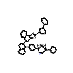 N=C(/C=C\C(=N)c1ccc(-c2c(-c3cc4oc(-c5cccc(-c6ccccc6)c5)nc4c4ccccc34)ccc3ccccc23)cc1)c1ccccc1